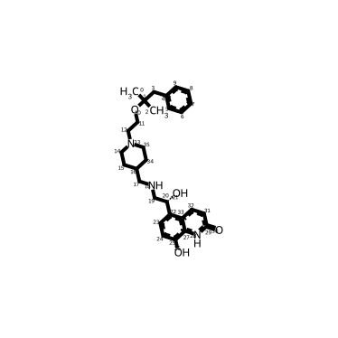 CC(C)(Cc1ccccc1)OCCN1CCC(CNC[C@H](O)c2ccc(O)c3[nH]c(=O)ccc23)CC1